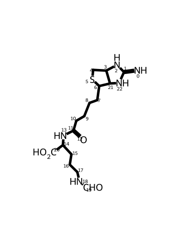 N=C1NC2CSC(CCCCC(=O)NC(CCCNC=O)C(=O)O)C2N1